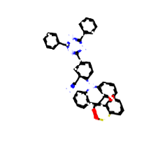 N#Cc1cc(-c2nc(-c3ccccc3)nc(-c3ccccc3)n2)ccc1N1c2ccccc2C2(c3ccccc3Sc3ccccc32)c2ccccc21